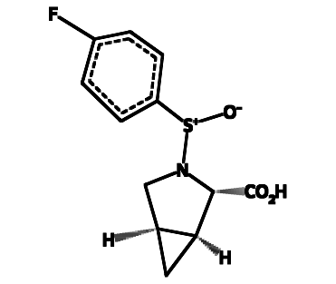 O=C(O)[C@@H]1[C@H]2C[C@H]2CN1[S+]([O-])c1ccc(F)cc1